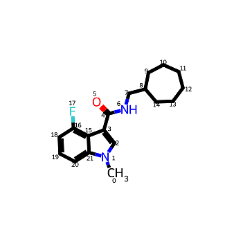 Cn1cc(C(=O)NCC2CCCCCC2)c2c(F)cccc21